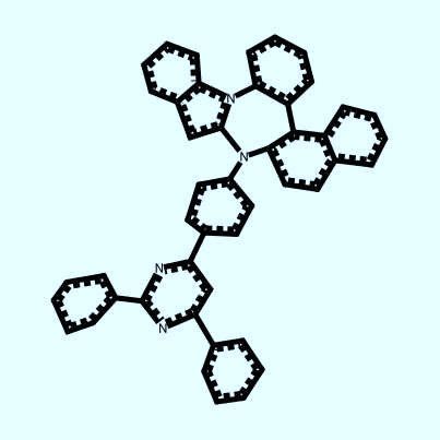 c1ccc(-c2cc(-c3ccc(N4c5ccc6ccccc6c5-c5ccccc5-n5c4cc4ccccc45)cc3)nc(-c3ccccc3)n2)cc1